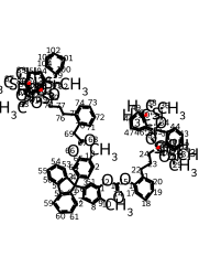 Cc1ccc(C2(c3ccc(C)c(OC(=O)Oc4ccccc4CCC[Si](C)(O[Si](C)(C)C)O[Si](O[Si](C)(C)C)(c4ccccc4)c4ccccc4)c3)c3ccccc3-c3ccccc32)cc1OC(=O)Cc1ccccc1CCC[Si](C)(O[Si](C)(C)O[Si](C)(C)C)O[Si](C)(c1ccccc1)c1ccccc1